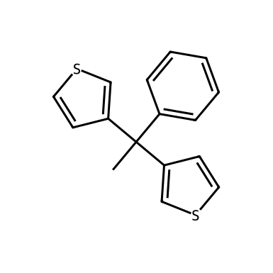 CC(c1ccccc1)(c1ccsc1)c1ccsc1